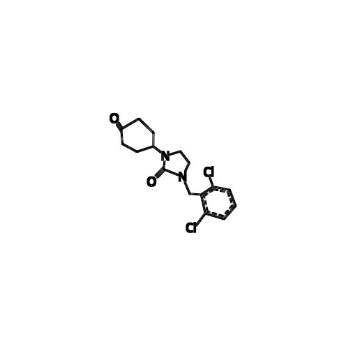 O=C1CCC(N2CCN(Cc3c(Cl)cccc3Cl)C2=O)CC1